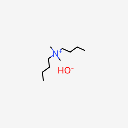 CCCC[N+](C)(C)CCCC.[OH-]